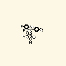 COc1ccc(C(Nc2ccc(F)c(F)c2F)SC=C(C(=O)O)C(=O)O)cc1